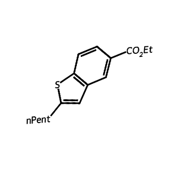 CCCCCc1cc2cc(C(=O)OCC)ccc2s1